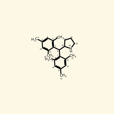 Cc1cc(C)c(C(c2c(C)cc(C)cc2C)C2CCCN2)c(C)c1